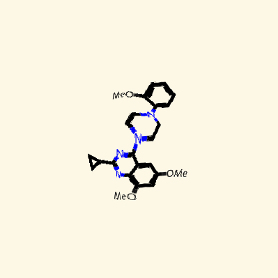 COc1cc(OC)c2nc(C3CC3)nc(N3CCN(c4ccccc4OC)CC3)c2c1